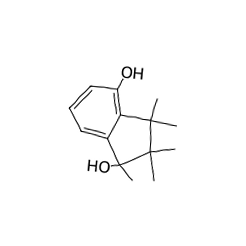 CC1(C)c2c(O)cccc2C(C)(O)C1(C)C